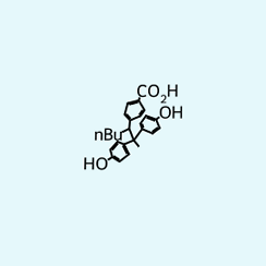 CCCCC(c1ccc(C(=O)O)cc1)C(C)(c1ccc(O)cc1)c1ccc(O)cc1